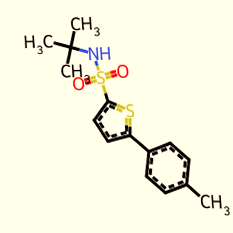 Cc1ccc(-c2ccc(S(=O)(=O)NC(C)(C)C)s2)cc1